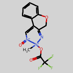 C[N+]1(OC(=O)C(F)(F)F)N=C2COc3ccccc3C2=C[N+]1=O